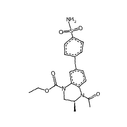 CCOC(=O)N1C[C@H](C)N(C(C)=O)c2ccc(-c3ccc(S(N)(=O)=O)cc3)cc21